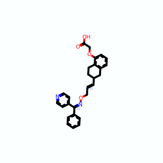 O=C(O)COc1cccc2c1CCC(/C=C/CO/N=C(/c1ccccc1)c1ccncc1)C2